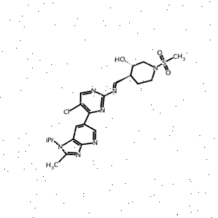 Cc1nc2ncc(-c3nc(/N=C/[C@@H]4CCN(S(C)(=O)=O)C[C@H]4O)ncc3Cl)cc2n1C(C)C